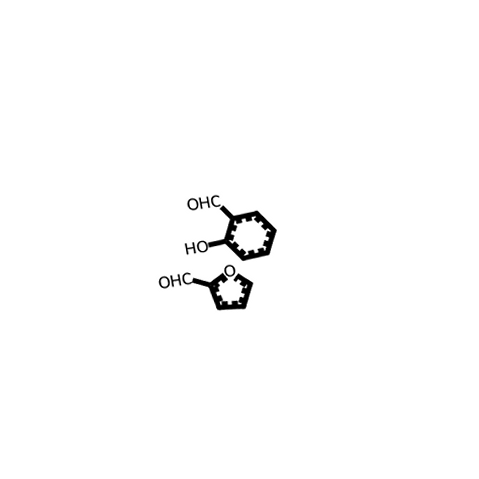 O=Cc1ccccc1O.O=Cc1ccco1